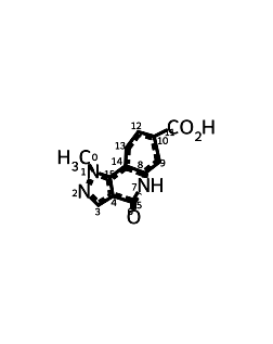 Cn1ncc2c(=O)[nH]c3cc(C(=O)O)ccc3c21